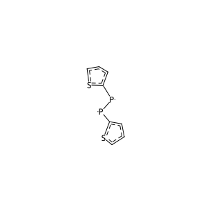 c1csc([P][P]c2cccs2)c1